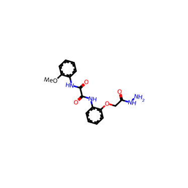 COc1ccccc1NC(=O)C(=O)Nc1ccccc1OCC(=O)NN